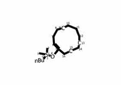 CCCC[Si](C)(C)OC1=CCCCCCCCCCC1